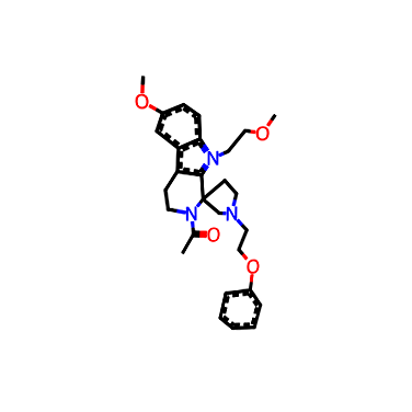 COCCn1c2c(c3cc(OC)ccc31)CCN(C(C)=O)C21CCN(CCOc2ccccc2)C1